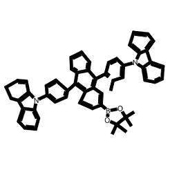 C=C(/C=C\C(=C/CC)n1c2ccccc2c2ccccc21)c1c2ccccc2c(-c2ccc(-n3c4c(c5ccccc53)CCC=C4)cc2)c2ccc(B3OC(C)(C)C(C)(C)O3)cc12